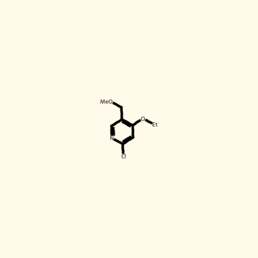 CCOc1cc(Cl)ncc1COC